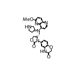 COc1ccc2nccc(N(C[C@H]3COC(=O)N3c3ccc4c(c3)NC(=O)CO4)[C@H]3CCNC3)c2n1